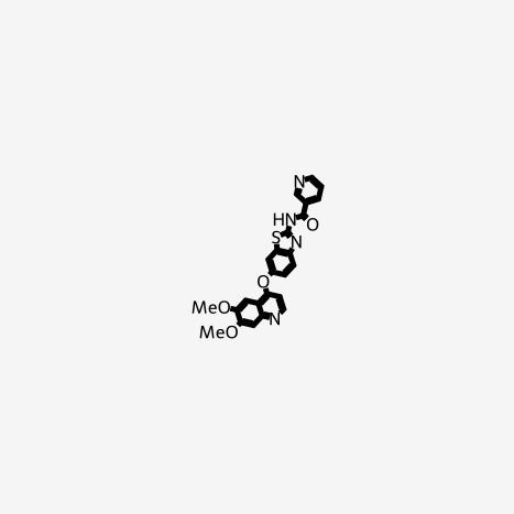 COc1cc2nccc(Oc3ccc4nc(NC(=O)c5cccnc5)sc4c3)c2cc1OC